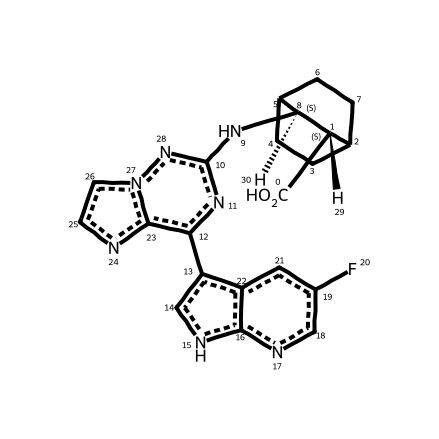 O=C(O)[C@H]1C2CCC(CC2)[C@@H]1Nc1nc(-c2c[nH]c3ncc(F)cc23)c2nccn2n1